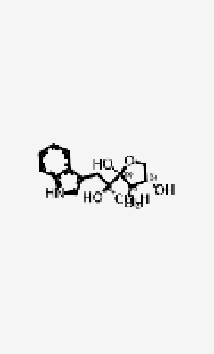 O=C(O)[C@](O)(Cc1c[nH]c2ccccc12)[C@@]1(O)OC[C@H](O)[C@H]1O